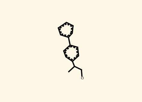 CC(CCl)c1ccc(-c2ccccc2)cc1